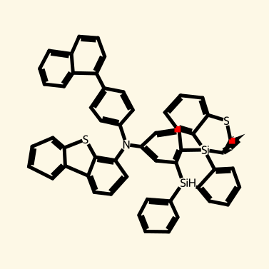 c1ccc([SiH]2c3ccccc3[Si]3(c4ccccc4Sc4ccccc43)c3ccc(N(c4ccc(-c5cccc6ccccc56)cc4)c4cccc5c4sc4ccccc45)cc32)cc1